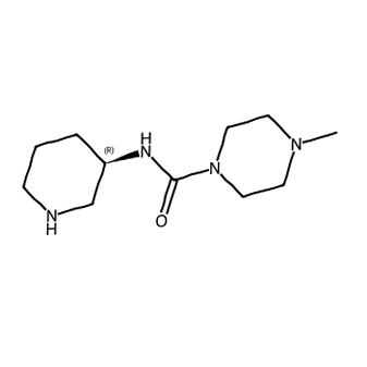 CN1CCN(C(=O)N[C@@H]2CCCNC2)CC1